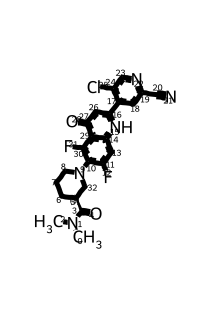 CN(C)C(=O)[C@H]1CCCN(c2c(F)cc3[nH]c(-c4cc(C#N)ncc4Cl)cc(=O)c3c2F)C1